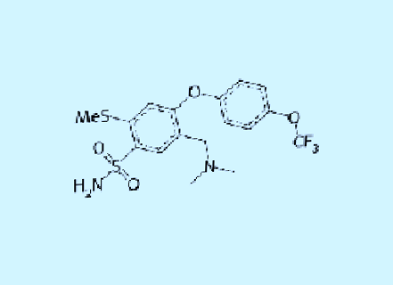 CSc1cc(Oc2ccc(OC(F)(F)F)cc2)c(CN(C)C)cc1S(N)(=O)=O